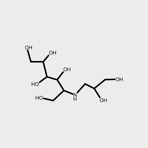 OCC(O)CNC(CO)C(O)C(O)C(O)CO